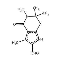 Cc1c(C=O)[nH]c2c1C(=O)N(C)C(C)(C)C2